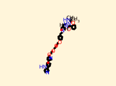 CN[C@@H](C)C(=O)N[C@H](C(=O)N1CC[C@H]2CCN(CCc3ccc(OCCOCCOCCOc4ccc(-c5ccc6c(c5)[nH]c5ccncc56)cn4)cc3)C[C@H]21)C1CCCCC1